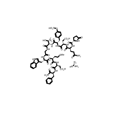 CCCC.CSCC[C@H](NC(=O)[C@H](Cc1c[nH]c2ccccc12)NC(=O)CNC(=O)[C@@H](NC(=O)[C@H](Cc1ccc(OS(=O)(=O)O)cc1)NC(=O)[C@H](CC(=O)O)NC(=O)[C@H](CCC(N)=O)NC(=O)[C@@H]1CCC(=O)N1)[C@@H](C)O)C(=O)N[C@@H](CC(=O)O)C(=O)N[C@@H](Cc1ccccc1)C(N)=O.N